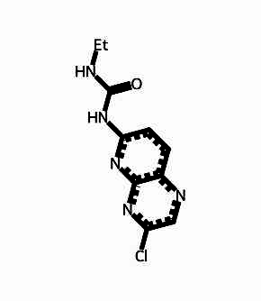 CCNC(=O)Nc1ccc2ncc(Cl)nc2n1